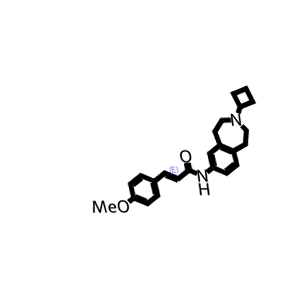 COc1ccc(/C=C/C(=O)Nc2ccc3c(c2)CCN(C2CCC2)CC3)cc1